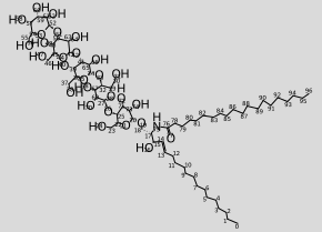 CCCCCCCCCCCCC/C=C/[C@@H](O)[C@H](CO[C@@H]1OC(CO)[C@@H](O[C@@H]2OC(CO)[C@H](O[C@@H]3OC(CO)[C@H](O)[C@H](O[C@H]4OC(CO)[C@H](O)[C@H](O[C@H]5OC(CO)[C@H](O)[C@H](O)C5O)C4O)C3O)[C@H](O)C2O)[C@H](O)C1O)NC(=O)CCCCCCCCCCCCCCCCCCC